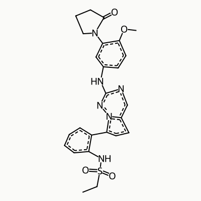 CCS(=O)(=O)Nc1ccccc1-c1ccc2cnc(Nc3ccc(OC)c(N4CCCC4=O)c3)nn12